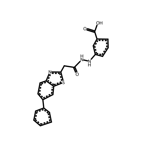 O=C(Cc1nc2ccc(-c3ccccc3)cc2s1)NNc1cccc(C(=O)O)c1